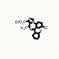 CCOC(=O)c1ncn2c1[C@@H](C)N=C(c1ccccc1F)c1cc(Cl)ccc1-2